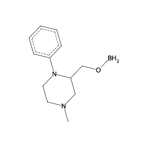 BOCC1CN(C)CCN1c1ccccc1